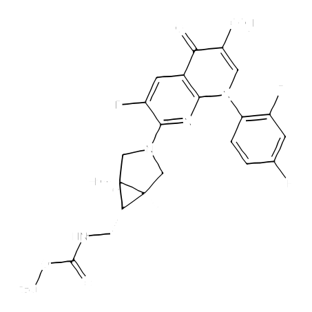 CC(C)(C)OC(=O)NC[C@@H]1[C@H]2CN(c3nc4c(cc3F)c(=O)c(C(=O)O)cn4-c3ccc(F)cc3F)C[C@@H]12